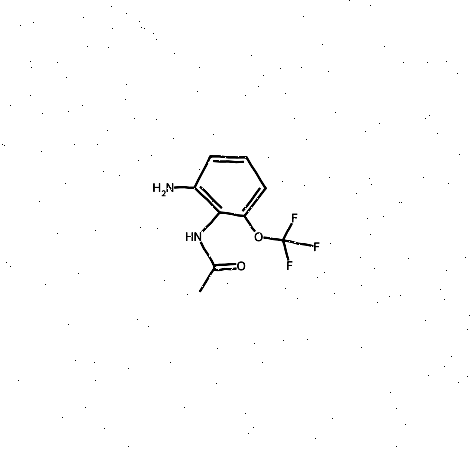 CC(=O)Nc1c(N)cccc1OC(F)(F)F